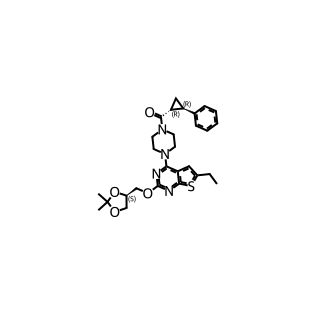 CCc1cc2c(N3CCN(C(=O)[C@@H]4C[C@H]4c4ccccc4)CC3)nc(OC[C@H]3COC(C)(C)O3)nc2s1